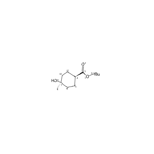 CC(C)(C)OC(=O)[C@H]1CC[C@@](C)(O)CC1